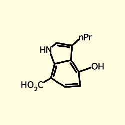 CCCc1c[nH]c2c(C(=O)O)ccc(O)c12